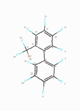 Fc1c(F)c(F)c(-c2c(F)c(F)c(F)c(F)c2C(F)(F)Br)c(F)c1F